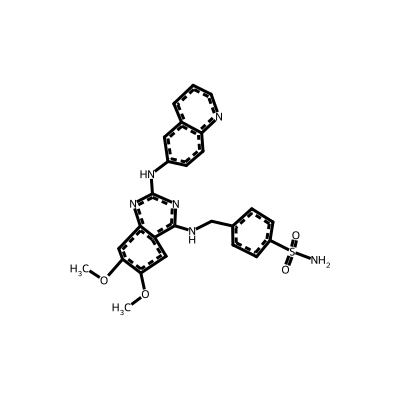 COc1cc2nc(Nc3ccc4ncccc4c3)nc(NCc3ccc(S(N)(=O)=O)cc3)c2cc1OC